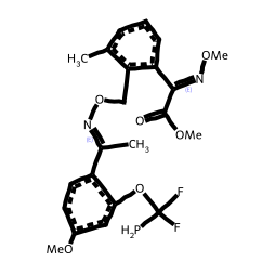 CO/N=C(/C(=O)OC)c1cccc(C)c1CO/N=C(\C)c1ccc(OC)cc1OC(F)(F)P